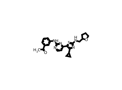 CC(=O)c1cccc(Nc2nccc(-c3sc(NCC4CCCO4)nc3C3CC3)n2)c1